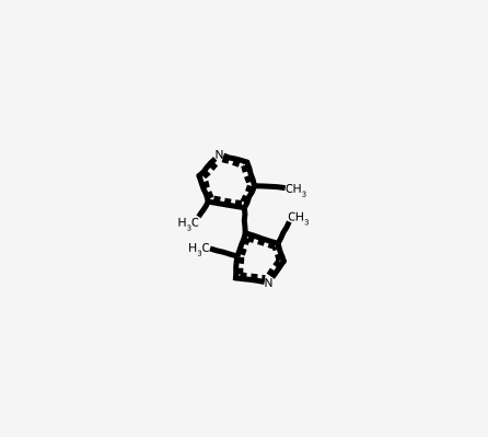 Cc1cncc(C)c1-c1c(C)cncc1C